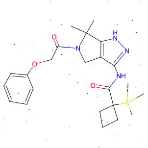 CC1(C)c2[nH]nc(NC(=O)C3(S(C)(C)C)CCC3)c2CN1C(=O)COc1ccccc1